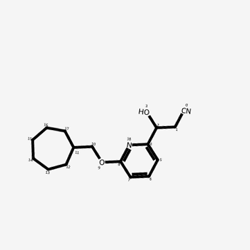 N#CCC(O)c1cccc(OCC2CCCCCC2)n1